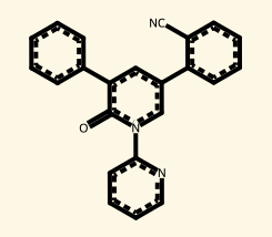 N#Cc1ccccc1-c1cc(-c2ccccc2)c(=O)n(-c2ccccn2)c1